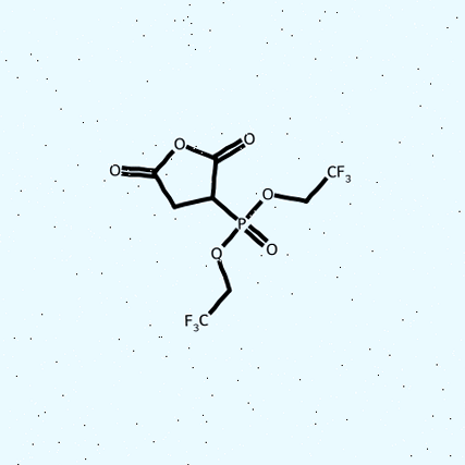 O=C1CC(P(=O)(OCC(F)(F)F)OCC(F)(F)F)C(=O)O1